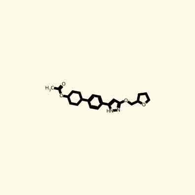 CC(=O)OC1CCC(c2ccc(-c3cc(OCC4CCCO4)n[nH]3)cc2)CC1